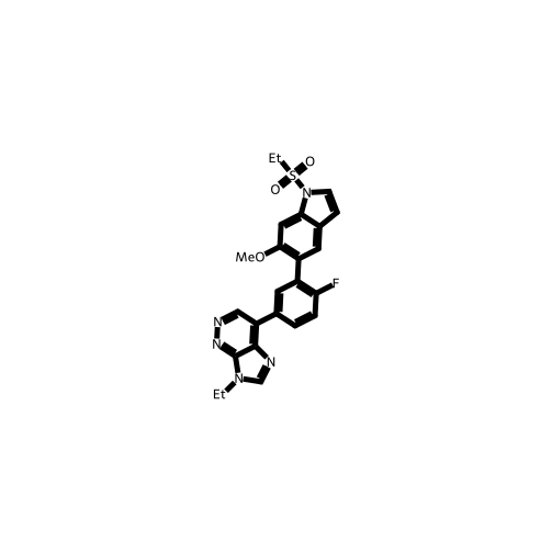 CCn1cnc2c(-c3ccc(F)c(-c4cc5ccn(S(=O)(=O)CC)c5cc4OC)c3)cnnc21